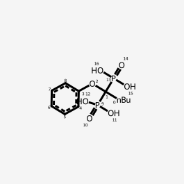 CCCCC(Oc1ccccc1)(P(=O)(O)O)P(=O)(O)O